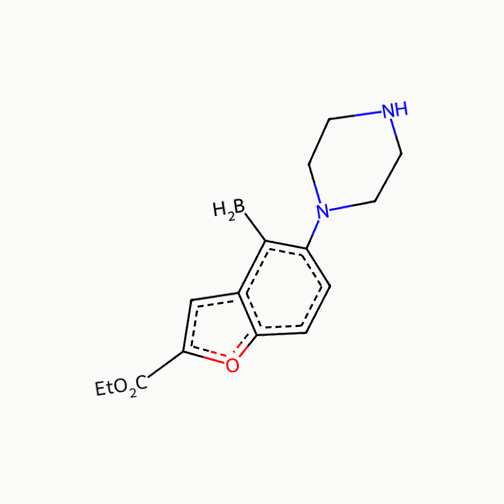 Bc1c(N2CCNCC2)ccc2oc(C(=O)OCC)cc12